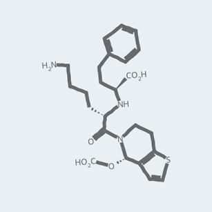 NCCCC[C@H](N[C@@H](CCc1ccccc1)C(=O)O)C(=O)N1CCc2sccc2[C@@H]1OC(=O)O